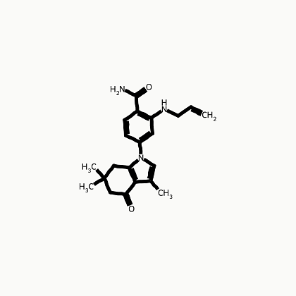 C=CCNc1cc(-n2cc(C)c3c2CC(C)(C)CC3=O)ccc1C(N)=O